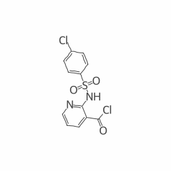 O=C(Cl)c1cccnc1NS(=O)(=O)c1ccc(Cl)cc1